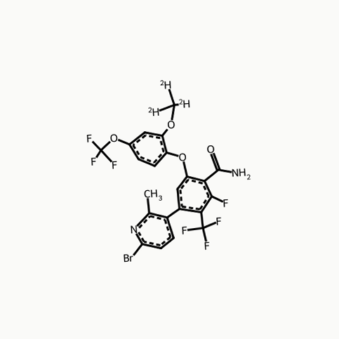 [2H]C([2H])([2H])Oc1cc(OC(F)(F)F)ccc1Oc1cc(-c2ccc(Br)nc2C)c(C(F)(F)F)c(F)c1C(N)=O